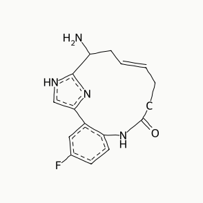 NC1C/C=C/CCC(=O)Nc2ccc(F)cc2-c2c[nH]c1n2